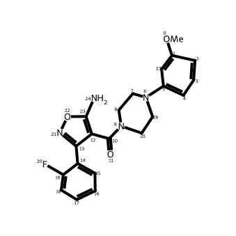 COc1cccc(N2CCN(C(=O)c3c(-c4ccccc4F)noc3N)CC2)c1